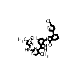 Cc1cnc(Nc2cc(C)n(C)n2)nc1-c1c[nH]c2c(N3Cc4c(cccc4-c4ccc(Cl)nc4)C3=O)cccc12